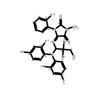 CN1C(=O)C(=NC(N(c2ccc(F)cc2F)c2ccc(F)cc2F)C(Br)(Br)CCl)N(c2ccccc2F)C1=O